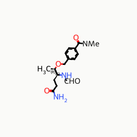 CNC(=O)c1ccc(CO[C@H](C)[C@H](CCC(N)=O)NC=O)cc1